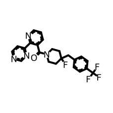 O=C(c1cccnc1-c1ccncn1)N1CCC(F)(Cc2ccc(C(F)(F)F)cc2)CC1